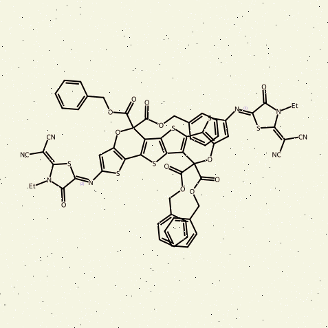 CCN1C(=O)/C(=N/c2cc3c(s2)-c2sc4c5c(sc4c2C(C(=O)OCc2ccccc2)(C(=O)OCc2ccccc2)O3)-c2sc(/N=C3\SC(=C(C#N)C#N)N(CC)C3=O)cc2OC5(C(=O)OCc2ccccc2)C(=O)OCc2ccccc2)SC1=C(C#N)C#N